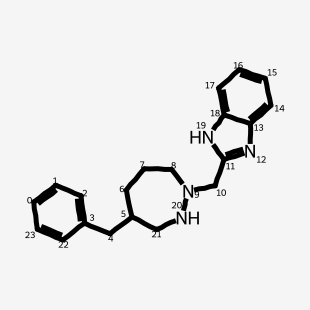 c1ccc(CC2CCCN(Cc3nc4ccccc4[nH]3)NC2)cc1